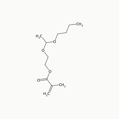 C=C(C)C(=O)OCCOC(C)OCCCC